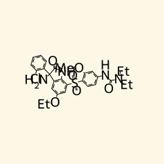 CCOc1cc2c(c(S(=O)(=O)c3ccc(NC(=O)N(CC)CC)cc3OC)c1)NC(=O)C2(N)c1ccccc1Cl